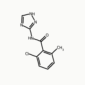 Cc1cccc(Cl)c1C(=O)Nc1nc[nH]n1